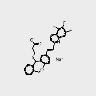 O=C([O-])CCSC1c2ccccc2COc2ccc(C=Cc3ccc4c(F)c(F)c(F)cc4n3)cc21.[Na+]